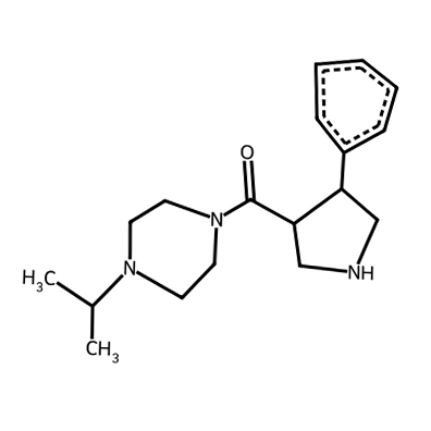 CC(C)N1CCN(C(=O)C2CNCC2c2ccccc2)CC1